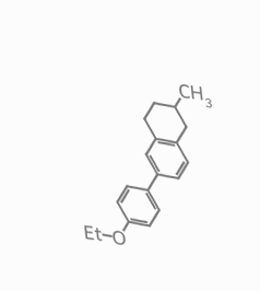 CCOc1ccc(-c2ccc3c(c2)CCC(C)C3)cc1